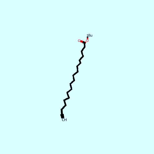 C#CCCCCCCCCCCCCCCCCC(=O)OC(C)(C)C